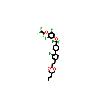 C/C=C/C1COC(CCc2ccc(C3CCC(C(F)(F)Oc4cc(F)c(OC(F)=C(F)F)c(F)c4)CC3)c(F)c2)OC1